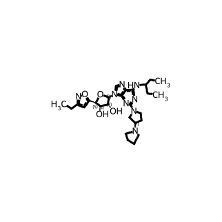 CCc1cc([C@H]2O[C@@H](n3cnc4c(NC(CC)CC)nc(N5CC[C@@H](N6CCCC6)C5)nc43)[C@H](O)[C@@H]2O)on1